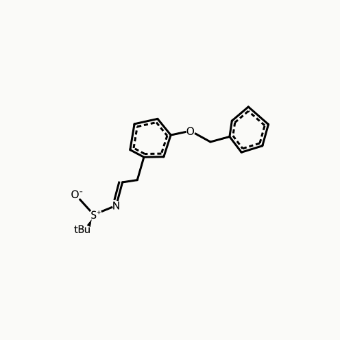 CC(C)(C)[S@@+]([O-])/N=C/Cc1cccc(OCc2ccccc2)c1